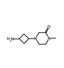 CN1CCN(C2CC(N)C2)CC1=O